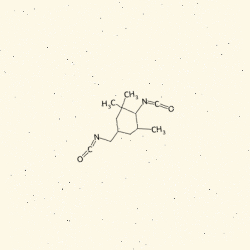 CC1CC(CN=C=O)CC(C)(C)C1N=C=O